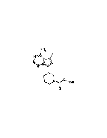 CC(C)(C)OC(=O)N1CCCC(c2cc(I)c3c(N)ncnn23)C1